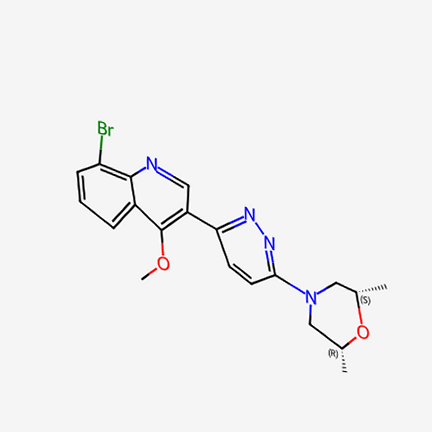 COc1c(-c2ccc(N3C[C@@H](C)O[C@@H](C)C3)nn2)cnc2c(Br)cccc12